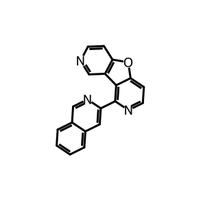 c1ccc2cc(-c3nccc4oc5ccncc5c34)ncc2c1